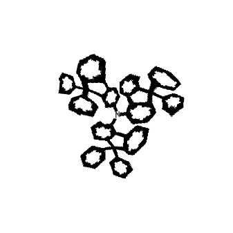 c1ccc(C2(c3ccccc3)c3ccccc3-c3ccc(N(c4cccc5c4-c4ccccc4C5(c4ccccc4)c4ccccc4)c4cccc5c4-c4ccccc4C5(c4ccccc4)c4ccccc4)cc32)cc1